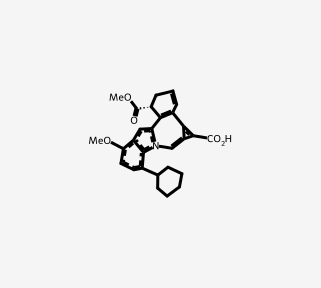 COC(=O)[C@@H]1CC=CC2=C1c1cc3c(OC)ccc(C4CCCCC4)c3n1C=C1C(C(=O)O)=C12